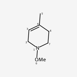 CON1CC=C(C)CC1